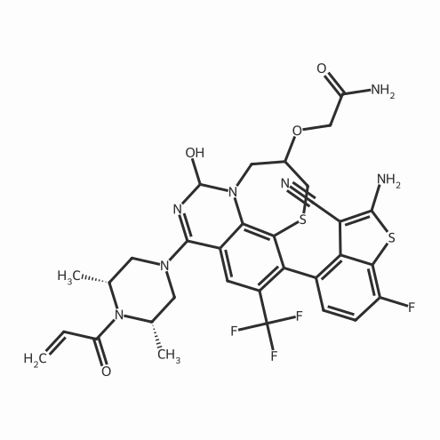 C=CC(=O)N1[C@H](C)CN(C2=NC(O)N3CC(OCC(N)=O)CSc4c(-c5ccc(F)c6sc(N)c(C#N)c56)c(C(F)(F)F)cc2c43)C[C@@H]1C